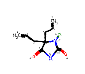 C=CCC1(CC=C)C(=O)NC(=O)N1Cl